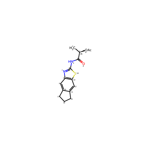 CC(=O)O[C@H](C)C(=O)Nc1nc2cc3c(cc2s1)CCC3